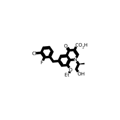 CCOc1cc(Cc2cccc(Cl)c2F)cc2c(=O)c(C(=O)O)cn([C@@H](C)CO)c12